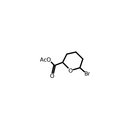 CC(=O)OC(=O)C1CCCC(Br)O1